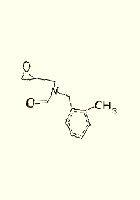 Cc1ccccc1CN(C=O)CC1CO1